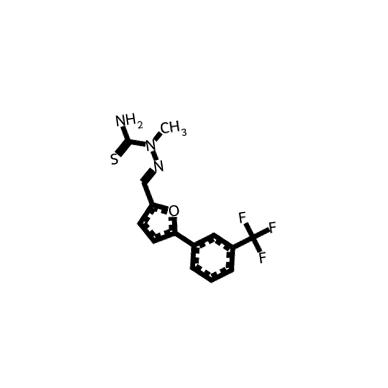 CN(N=Cc1ccc(-c2cccc(C(F)(F)F)c2)o1)C(N)=S